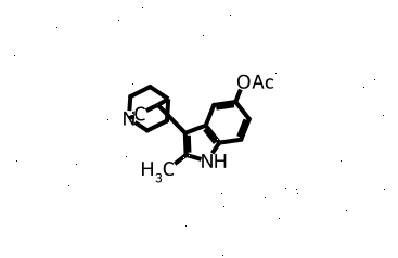 CC(=O)Oc1ccc2[nH]c(C)c(C3CN4CCC3CC4)c2c1